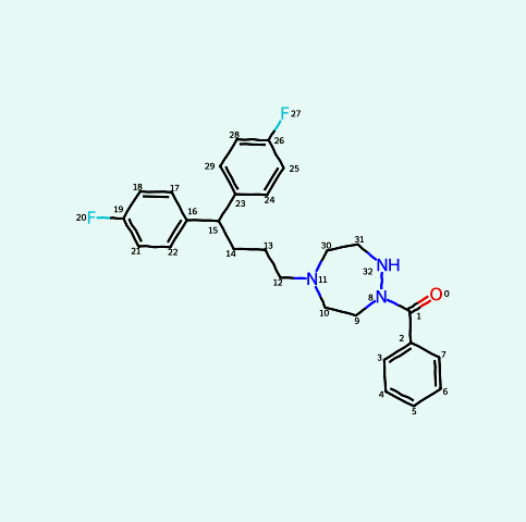 O=C(c1ccccc1)N1CCN(CCCC(c2ccc(F)cc2)c2ccc(F)cc2)CCN1